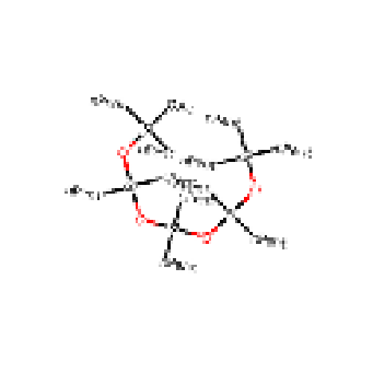 CCCCC[Si](CCCCC)(CCCCC)O[Si](CCCCC)(CCCCC)O[Si](CCCCC)(CCCCC)O[Si](CCCCC)(CCCCC)O[Si](CCCCC)(CCCCC)OC(C)=O